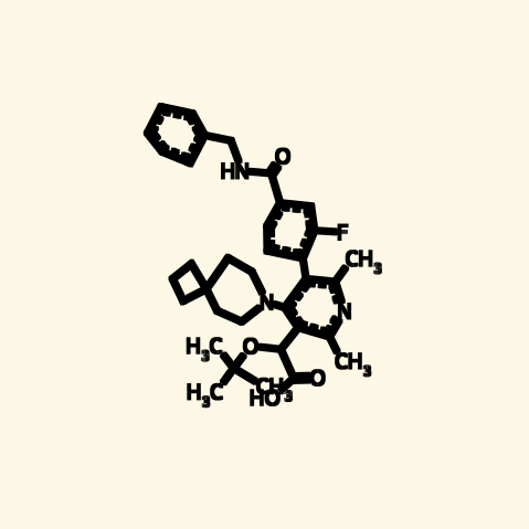 Cc1nc(C)c(C(OC(C)(C)C)C(=O)O)c(N2CCC3(CCC3)CC2)c1-c1ccc(C(=O)NCc2ccccc2)cc1F